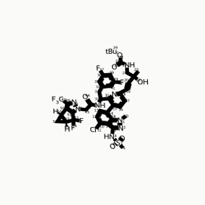 Cn1nc(NS(C)(=O)=O)c2c(Cl)ccc(-c3ccc(C#CC(C)(O)CNC(=O)OC(C)(C)C)nc3C(Cc3cc(F)cc(F)c3)NC(=O)Cn3nc(C(F)(F)F)c4c3C(F)(F)[C@@H]3C[C@H]43)c21